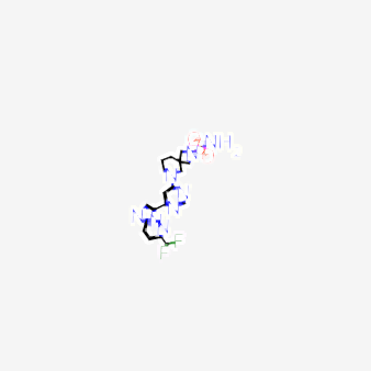 NS(=O)(=O)N1CC2(CCCN(c3cc(-c4cnc5ccc(C(F)F)nn45)ncn3)C2)C1